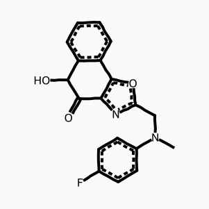 CN(Cc1nc2c(o1)-c1ccccc1C(O)C2=O)c1ccc(F)cc1